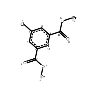 CC(C)OC(=O)c1cc(Cl)cc(C(=O)OC(C)C)n1